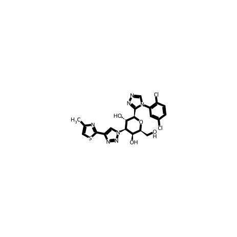 Cc1csc(-c2cn([C@@H]3[C@H](O)[C@H](CO)O[C@H](c4nncn4-c4cc(Cl)ccc4Cl)[C@H]3O)nn2)n1